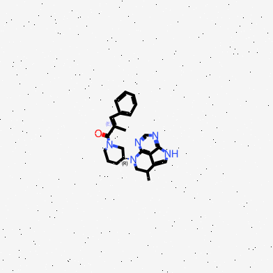 C/C(=C\c1ccccc1)C(=O)N1CCC[C@@H](N2CC(C)c3c[nH]c4ncnc2c34)C1